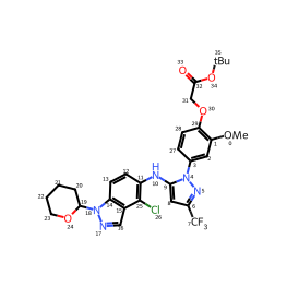 COc1cc(-n2nc(C(F)(F)F)cc2Nc2ccc3c(cnn3C3CCCCO3)c2Cl)ccc1OCC(=O)OC(C)(C)C